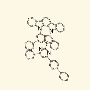 c1ccc(-c2ccc(-c3cc(-c4ccccc4)nc(-c4ccc(-n5c6ccccc6c6ccc7c8ccccc8n(-c8cc(-c9ccccc9)cc(-c9ccccc9)c8)c7c65)cc4)n3)cc2)cc1